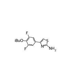 CC(C)COc1c(F)cc(-c2csc(N)n2)cc1F